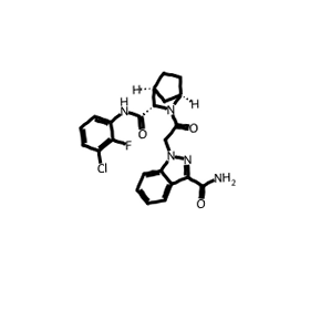 NC(=O)c1nn(CC(=O)N2[C@@H]3CC[C@@H](C3)[C@H]2C(=O)Nc2cccc(Cl)c2F)c2ccccc12